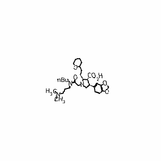 CCCCN(CCCN(C)C)C(=O)CN1C[C@H](c2ccc3c(c2)OCO3)[C@@H](C(=O)O)[C@@H]1CCC1CCCCO1